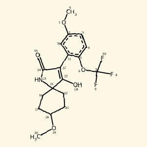 COc1ccc(OC(F)(F)F)c(C2=C(O)C3(CCC(OC)CC3)NC2=O)c1